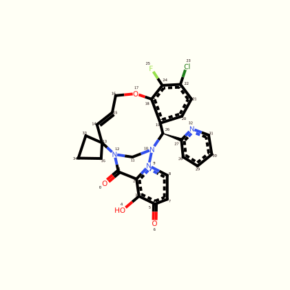 O=C1c2c(O)c(=O)ccn2N2CN1C1(/C=C/COc3c(ccc(Cl)c3F)[C@H]2c2ccccn2)CCC1